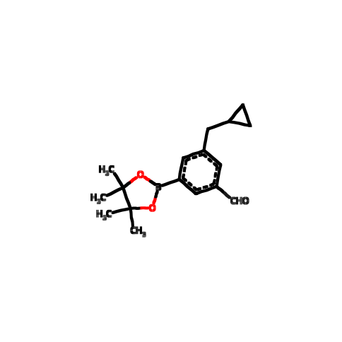 CC1(C)OB(c2cc(C=O)cc(CC3CC3)c2)OC1(C)C